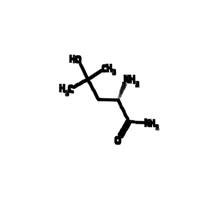 CC(C)(O)C[C@H](N)C(N)=O